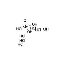 Cl.Cl.Cl.Cl.Cl.Cl.[O]=[Sb]([OH])([OH])[OH]